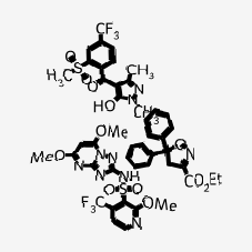 CCOC(=O)C1=NOC(c2ccccc2)(c2ccccc2)C1.COc1cc(OC)n2nc(NS(=O)(=O)c3c(C(F)(F)F)ccnc3OC)nc2n1.Cc1nn(C)c(O)c1C(=O)c1ccc(C(F)(F)F)cc1S(C)(=O)=O